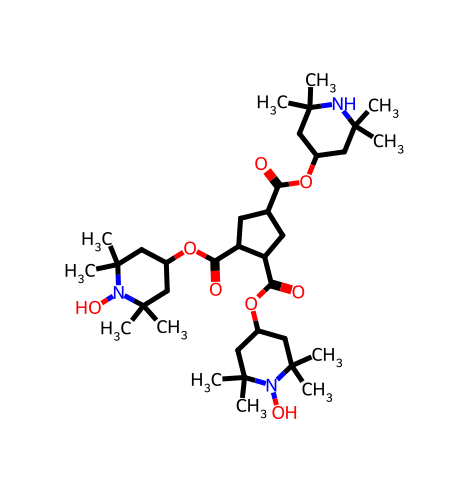 CC1(C)CC(OC(=O)C2CC(C(=O)OC3CC(C)(C)N(O)C(C)(C)C3)C(C(=O)OC3CC(C)(C)N(O)C(C)(C)C3)C2)CC(C)(C)N1